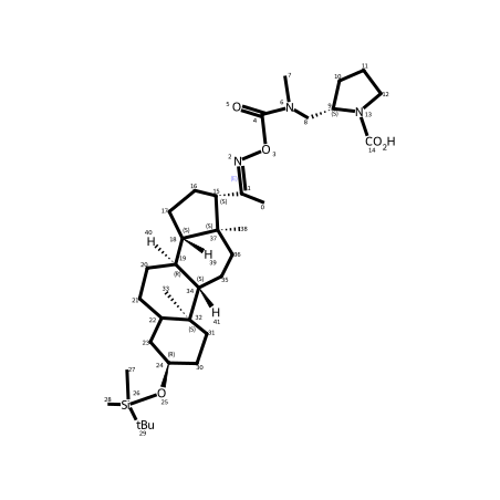 C/C(=N\OC(=O)N(C)C[C@@H]1CCCN1C(=O)O)[C@H]1CC[C@H]2[C@@H]3CCC4C[C@H](O[Si](C)(C)C(C)(C)C)CC[C@]4(C)[C@H]3CC[C@]12C